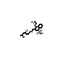 C=C(Br)/C=C(Cl)\C=C/C/N=N/c1cc(S(=O)(=O)O)c2ccccc2c1N=NN